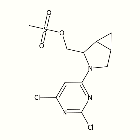 CS(=O)(=O)OCC1C2CC2CN1c1cc(Cl)nc(Cl)n1